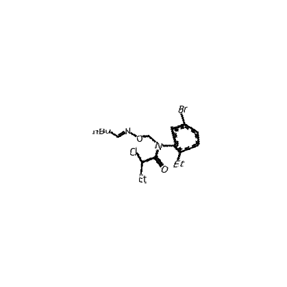 CCCCC=NOCN(C(=O)C(Cl)CC)c1cc(Br)ccc1CC